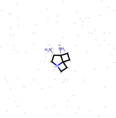 N[C@H]1CN2CCC23CC[C@]13N